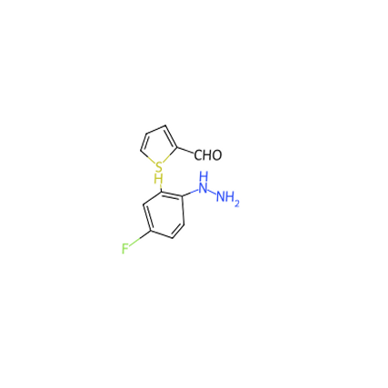 NNc1ccc(F)cc1[SH]1C=CC=C1C=O